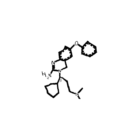 CN(C)CC[C@@H](C1CCCCC1)N1Cc2cc(Oc3ccccc3)ccc2N=C1N